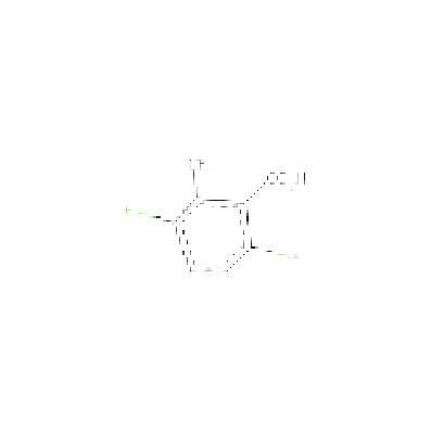 O=C(O)c1c(F)ccc(F)c1C(F)(F)F